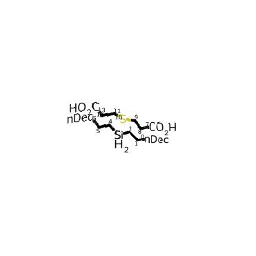 CCCCCCCCCCCC[SiH2]CCCCCCCCCCCC.O=C(O)CCSCCC(=O)O